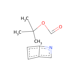 CC(C)(C)OC=O.c1cc2ncc1-2